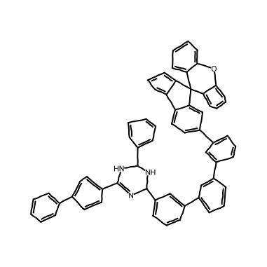 c1ccc(-c2ccc(C3=NC(c4cccc(-c5cccc(-c6cccc(-c7ccc8c(c7)C7(c9ccccc9Oc9ccccc97)c7ccccc7-8)c6)c5)c4)NC(c4ccccc4)N3)cc2)cc1